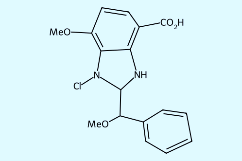 COc1ccc(C(=O)O)c2c1N(Cl)C(C(OC)c1ccccc1)N2